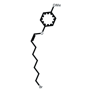 COc1ccc(O/C=C\CCCCCCBr)cc1